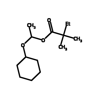 CCC(C)(C)C(=O)OC(C)OC1CCCCC1